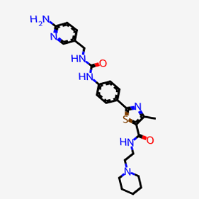 Cc1nc(-c2ccc(NC(=O)NCc3ccc(N)nc3)cc2)sc1C(=O)NCCN1CCCCC1